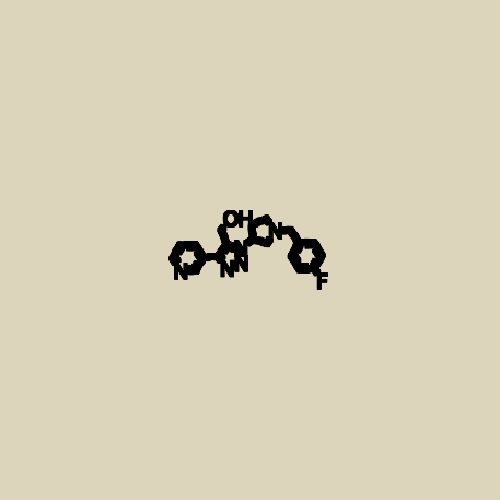 OCc1c(-c2cccnc2)nnn1C1CCN(Cc2ccc(F)cc2)C1